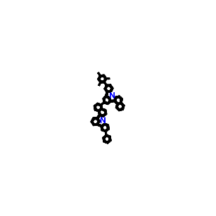 Cc1cc(C)c(-c2ccc3c(c2)c2cc(-c4cccc5c4ccc4c5c5cccc6c7cc(-c8ccccc8)ccc7n4c65)cc4c5c6ccccc6ccc5n3c24)c(C)c1